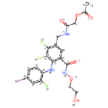 CC(=O)OCC(=O)NCc1cc(C(=O)NOCCO)c(Nc2ccc(I)cc2F)c(F)c1F